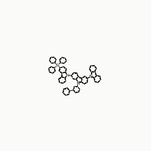 c1ccc(-c2cccc(-n3c4ccc(-n5c6ccccc6c6ccccc65)cc4c4ccc(-n5c6ccccc6c6cc([Si](c7ccccc7)(c7ccccc7)c7ccccc7)ccc65)cc43)c2)cc1